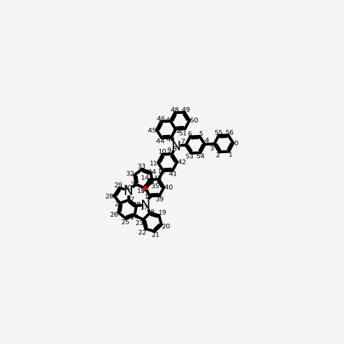 c1ccc(-c2ccc(N(c3ccc(-c4ccc(-n5c6ccccc6c6ccc7ccn(-c8ccccc8)c7c65)cc4)cc3)c3cccc4ccccc34)cc2)cc1